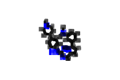 CN1CCC(c2ccc(Nc3ncc4ccc(-c5cccc(N(C)C)c5)n4n3)cc2)CC1